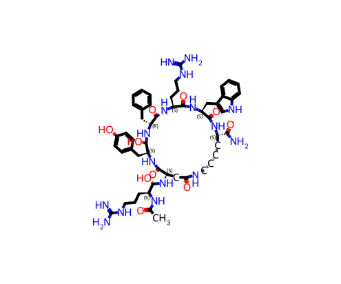 CC(=O)N[C@@H](CCCNC(=N)N)C(O)N[C@H]1CC(=O)NCCCC[C@@H](C(N)=O)NC(=O)[C@H](Cc2c[nH]c3ccccc23)NC(=O)[C@H](CCCNC(=N)N)NC(=O)[C@@H](Cc2ccccc2)NC(O)[C@H](Cc2ccc(O)cc2)NC1=O